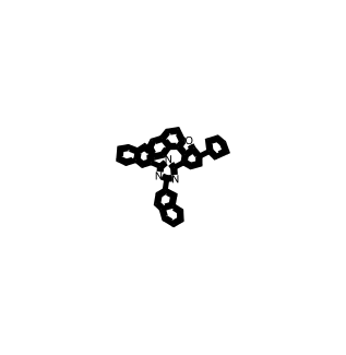 c1ccc(-c2ccc(-c3nc(-c4ccc5ccccc5c4)nc(-c4ccc5ccccc5c4)n3)c3c2oc2ccc4ccccc4c23)cc1